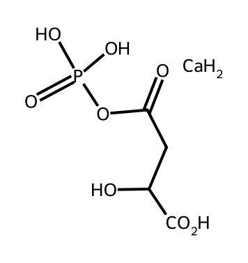 O=C(CC(O)C(=O)O)OP(=O)(O)O.[CaH2]